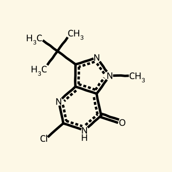 Cn1nc(C(C)(C)C)c2nc(Cl)[nH]c(=O)c21